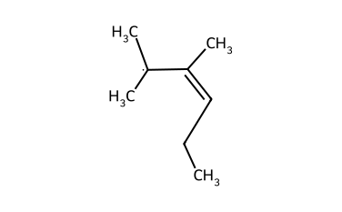 CCC=C(C)[C](C)C